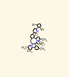 C=C1C2c3cc(C)ccc3-c3cc(C)c(C)c[n+]3C2CCc2ccc3c(oc4nc(-c5c(C(C)C)cccc5C(C)C)ccc43)c2-c2ccc(C)c(C)[n+]21